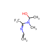 C=C/N=C(\N(C)C(C)O)C(F)(F)F